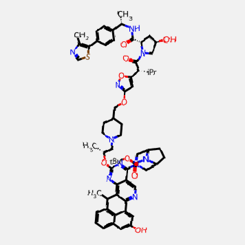 Cc1ncsc1-c1ccc([C@H](C)NC(=O)[C@@H]2C[C@@H](O)CN2C(=O)[C@@H](c2cc(OCC3CCN(C[C@@H](C)Oc4nc(N5CC6CCC(C5)N6C(=O)OC(C)(C)C)c5cnc6c(c5n4)C(C)c4cccc5cc(O)cc-6c45)CC3)no2)C(C)C)cc1